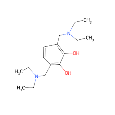 CCN(CC)Cc1ccc(CN(CC)CC)c(O)c1O